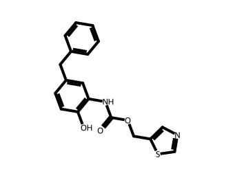 O=C(Nc1cc(Cc2ccccc2)ccc1O)OCc1cncs1